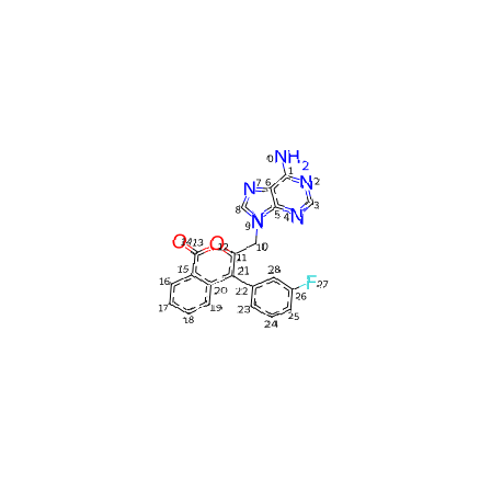 Nc1ncnc2c1ncn2Cc1oc(=O)c2ccccc2c1-c1cccc(F)c1